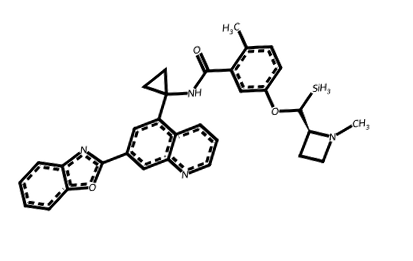 Cc1ccc(OC([SiH3])[C@@H]2CCN2C)cc1C(=O)NC1(c2cc(-c3nc4ccccc4o3)cc3ncccc23)CC1